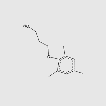 Cc1cc(C)c(OCCCO)c(C)c1